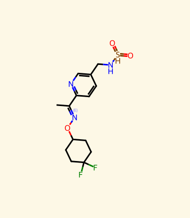 C/C(=N\OC1CCC(F)(F)CC1)c1ccc(CN[SH](=O)=O)cn1